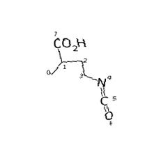 CC(CCN=C=O)C(=O)O